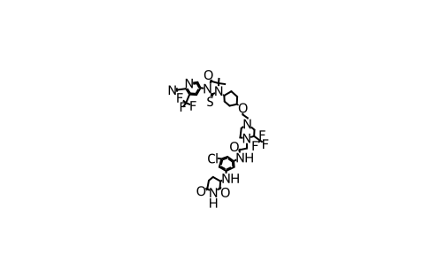 CC1(C)C(=O)N(c2cnc(C#N)c(C(F)(F)F)c2)C(=S)N1[C@H]1CC[C@H](OCCN2CCN(CC(=O)Nc3cc(Cl)cc(NC4CCC(=O)NC4=O)c3)C(C(F)(F)F)C2)CC1